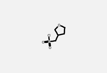 O=S(=O)(Cl)CC1CCOC1